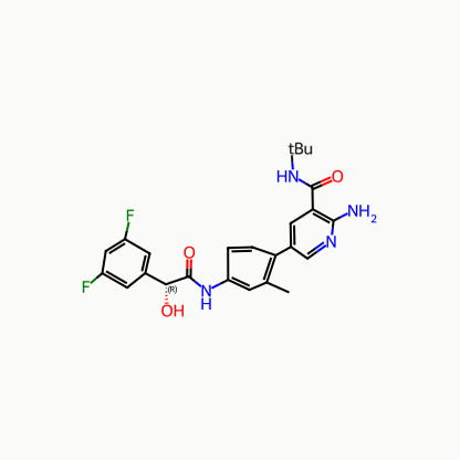 Cc1cc(NC(=O)[C@H](O)c2cc(F)cc(F)c2)ccc1-c1cnc(N)c(C(=O)NC(C)(C)C)c1